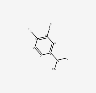 [CH2]C(C)c1ccc(I)c(F)c1